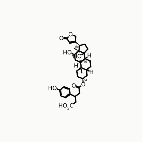 C[C@]12CC[C@H](OC(=O)CC(CC(=O)O)c3ccc(O)cc3)C[C@H]1CC[C@@H]1[C@@H]2C[C@@H](O)[C@]2(C)[C@@H](C3=CC(=O)OC3)CCC12O